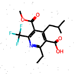 CCc1nc(C(F)(F)F)c(C(=O)OC)c(CC(C)C)c1C(=O)O